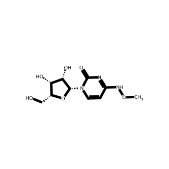 CONc1ccn([C@@H]2O[C@H](CO)[C@H](O)[C@@H]2O)c(=O)n1